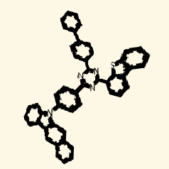 c1ccc(-c2ccc(-c3nc(-c4ccc(-n5c6ccccc6c6cc7ccccc7cc65)cc4)nc(-c4cccc5c4sc4ccccc45)n3)cc2)cc1